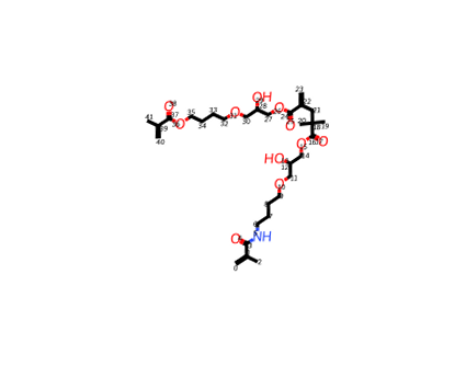 C=C(C)C(=O)NCCCCOCC(O)COC(=O)C(C)(C)CC(=C)C(=O)OCC(O)COCCCCOC(=O)C(=C)C